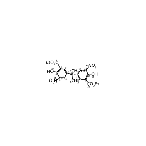 CCOC(=O)c1cc(C(C)(C)c2cc(C(=O)OCC)c(O)c([N+](=O)[O-])c2)cc([N+](=O)[O-])c1O